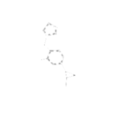 O=C(O)C1CC1c1ccc(Cn2ccnc2)c(F)c1